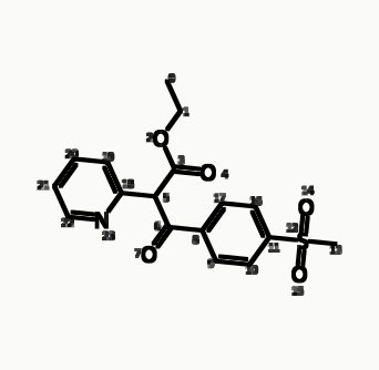 CCOC(=O)C(C(=O)c1ccc(S(C)(=O)=O)cc1)c1ccccn1